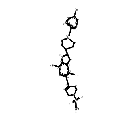 CCCc1cnc(N2CCC(C3Cc4c(F)c(C5=CCN(S(=O)(=O)CCC)CC5)cc(F)c4O3)CC2)nc1